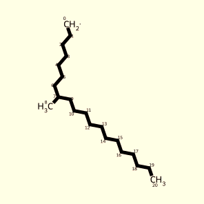 [CH2]CCCCCCC(C)CCCCCCCCCCCC